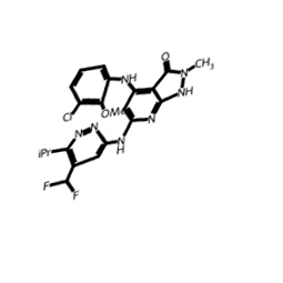 COc1c(Cl)cccc1Nc1cc(Nc2cc(C(F)F)c(C(C)C)nn2)nc2[nH]n(C)c(=O)c12